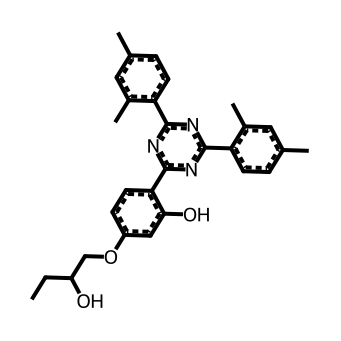 CCC(O)COc1ccc(-c2nc(-c3ccc(C)cc3C)nc(-c3ccc(C)cc3C)n2)c(O)c1